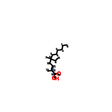 CCCCCCC(C)(CC)C/C=C(\C)C(=O)O